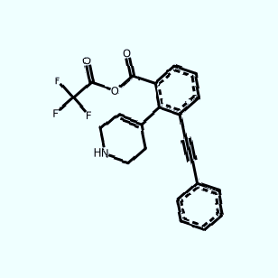 O=C(OC(=O)C(F)(F)F)c1cccc(C#Cc2ccccc2)c1C1=CCNCC1